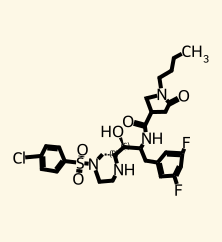 CCCCN1CC(C(=O)NC(Cc2cc(F)cc(F)c2)[C@H](O)[C@H]2CN(S(=O)(=O)c3ccc(Cl)cc3)CCN2)CC1=O